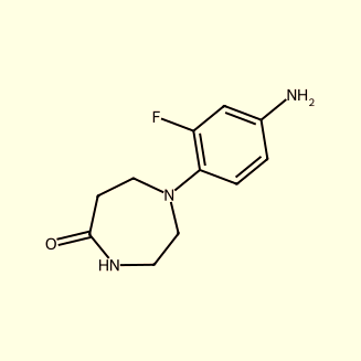 Nc1ccc(N2CCNC(=O)CC2)c(F)c1